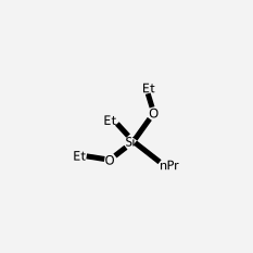 C[CH]C[Si](CC)(OCC)OCC